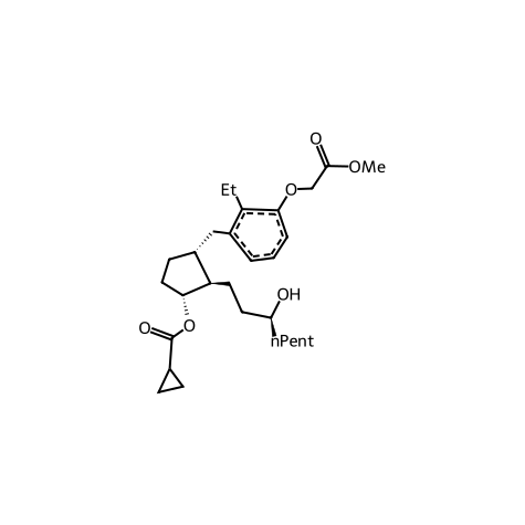 CCCCC[C@H](O)CC[C@@H]1[C@@H](Cc2cccc(OCC(=O)OC)c2CC)CC[C@H]1OC(=O)C1CC1